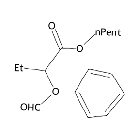 CCCCCOC(=O)C(CC)OC=O.c1ccccc1